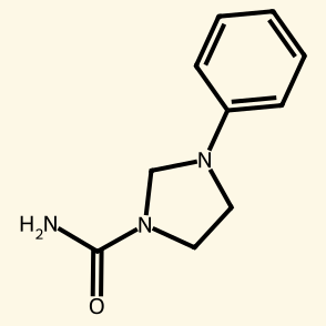 NC(=O)N1CCN(c2ccccc2)C1